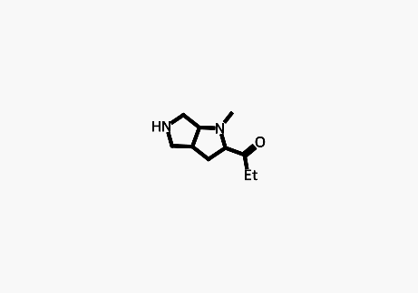 CCC(=O)C1CC2CNCC2N1C